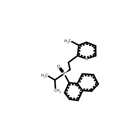 Cc1cccnc1CC[P@@](=O)(c1cccc2ccccc12)C(C)C